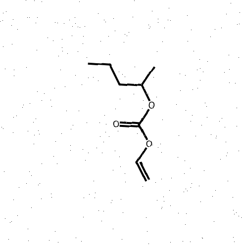 C=COC(=O)OC(C)CCC